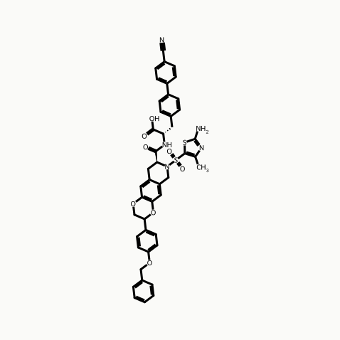 Cc1nc(N)sc1S(=O)(=O)N1Cc2cc3c(cc2C[C@H]1C(=O)N[C@@H](Cc1ccc(-c2ccc(C#N)cc2)cc1)C(=O)O)OCC(c1ccc(OCc2ccccc2)cc1)O3